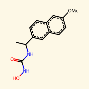 COc1ccc2cc(C(C)NC(=O)NO)ccc2c1